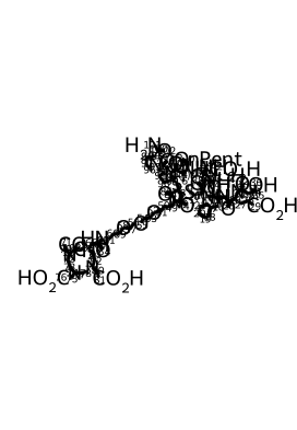 CCCCCC(=O)N[C@@H](CSC1=C(SC[C@H](NC(=O)[C@H](Cc2ccccc2)NC(=O)[C@H](CCC(=O)O)NC(=O)C[C@@H](C)O)C(=O)N[C@@H](CC(=O)O)C(N)=O)C(=O)N(CCCOCCOCCOCCCNC(=O)CN2CCN(CC(=O)O)CCN(CC(=O)O)CCN(CC(=O)O)CC2)C1=O)C(=O)N1CCC[C@H]1C(=O)N1CCC[C@H]1C(N)=O